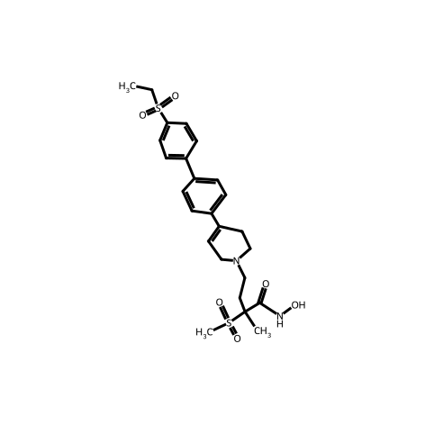 CCS(=O)(=O)c1ccc(-c2ccc(C3=CCN(CCC(C)(C(=O)NO)S(C)(=O)=O)CC3)cc2)cc1